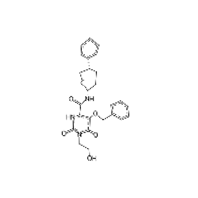 O=C(N[C@H]1CC[C@@H](c2ccccc2)CC1)c1[nH]c(=O)n(CCO)c(=O)c1OCc1ccccc1